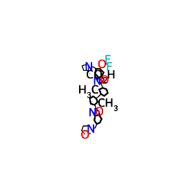 Cc1c(-c2nc3cc(CN4CCCOC4)ccc3o2)cccc1-c1cccc(-c2nc3cc(CN4CCC[C@H]4C(=O)O)c(OC(F)F)cc3o2)c1C